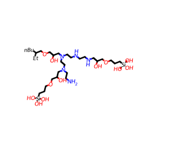 CCCCC(CC)COCC(O)CN(CCNCCNCC(O)COCCC[Si](O)(O)O)CCN(CCN)CC(O)COCCC[Si](O)(O)O